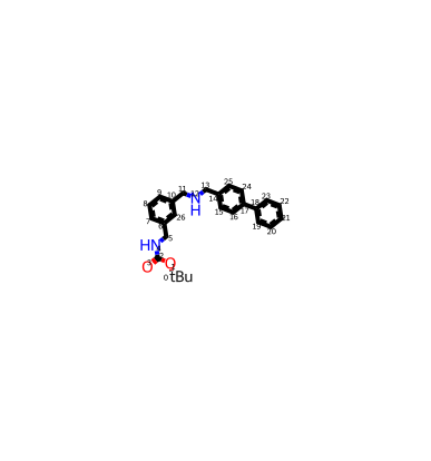 CC(C)(C)OC(=O)NCc1cccc(CNCc2ccc(-c3ccccc3)cc2)c1